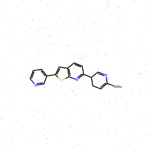 CNC1=CCC(c2ccc3cc(-c4cccnc4)sc3n2)C=N1